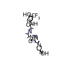 C=C(/C=C(\N=C/C)C(=O)NC(C)/C(C)=N/C=C(\C)C(=O)Nc1cc(C(F)(F)F)c(O)cn1)N1CCC(=NO)CC1